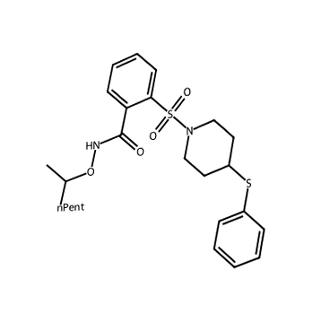 CCCCCC(C)ONC(=O)c1ccccc1S(=O)(=O)N1CCC(Sc2ccccc2)CC1